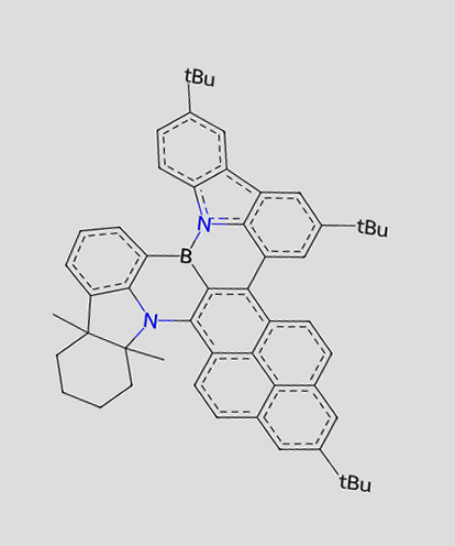 CC(C)(C)c1cc2ccc3c4c5c(c6ccc(c1)c2c36)N1c2c(cccc2C2(C)CCCCC12C)B5n1c2ccc(C(C)(C)C)cc2c2cc(C(C)(C)C)cc-4c21